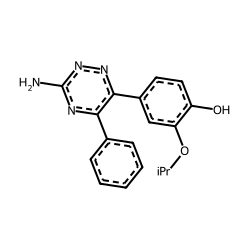 CC(C)Oc1cc(-c2nnc(N)nc2-c2ccccc2)ccc1O